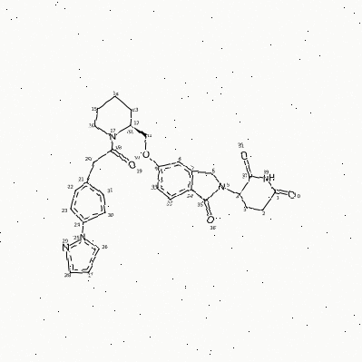 O=C1CCC(N2Cc3cc(OC[C@@H]4CCCCN4C(=O)Cc4ccc(-n5cccn5)cc4)ccc3C2=O)C(=O)N1